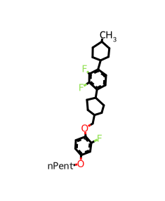 CCCCCOc1ccc(OCC2CCC(c3ccc(C4CCC(C)CC4)c(F)c3F)CC2)c(F)c1